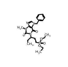 CCOP(=O)(CCC(CC)n1c(=O)c2c(ncn2Cc2ccccc2)n(C)c1=O)OCC